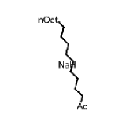 CCCCCCCCCCCCCCCCCC(C)=O.[NaH]